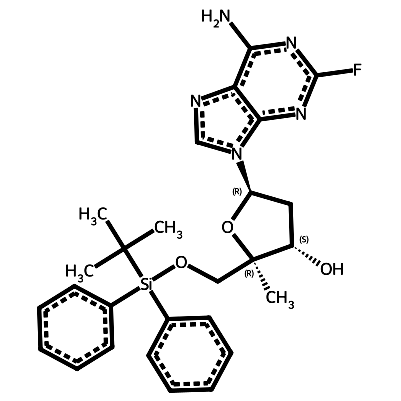 CC(C)(C)[Si](OC[C@@]1(C)O[C@@H](n2cnc3c(N)nc(F)nc32)C[C@@H]1O)(c1ccccc1)c1ccccc1